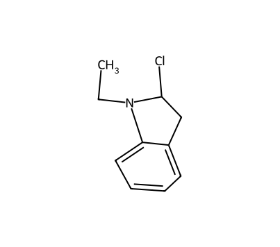 CCN1c2ccccc2CC1Cl